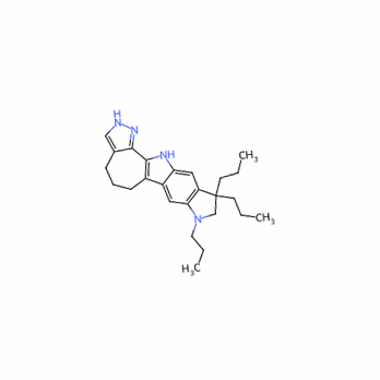 CCCN1CC(CCC)(CCC)c2cc3[nH]c4c(c3cc21)CCCc1c[nH]nc1-4